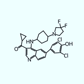 O=C(c1cnc2ccc(-c3cc(Cl)c(O)c(Cl)c3)cc2c1NC1CCC(N2CCC(F)(F)C2)CC1)C1CC1